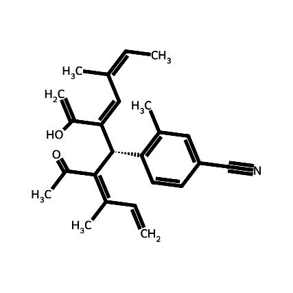 C=C/C(C)=C(/C(C)=O)[C@H](/C(=C/C(C)=C\C)C(=C)O)c1ccc(C#N)cc1C